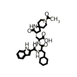 CC(=O)N1CCC2(CC1)C[C@H](CC(NC(=O)C(CC1CCCCC1)NC(=O)c1cc3ccccc3[nH]1)C(=O)O)C(=O)N2